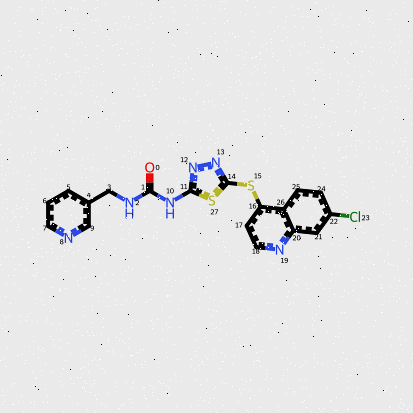 O=C(NCc1cccnc1)Nc1nnc(Sc2ccnc3cc(Cl)ccc23)s1